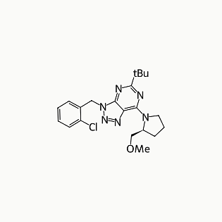 COC[C@@H]1CCCN1c1nc(C(C)(C)C)nc2c1nnn2Cc1ccccc1Cl